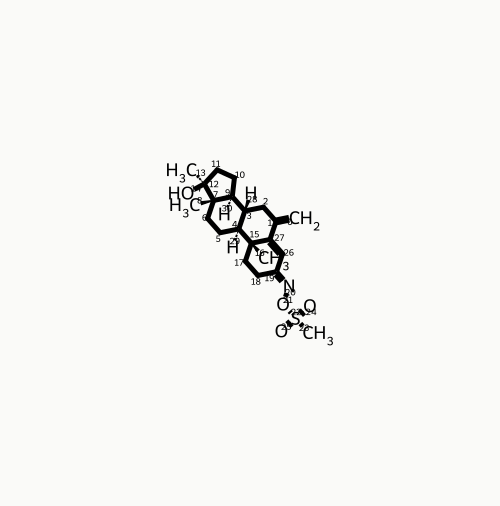 C=C1C[C@@H]2[C@H](CC[C@@]3(C)[C@H]2CC[C@]3(C)O)[C@@]2(C)CC/C(=N\OS(C)(=O)=O)C=C12